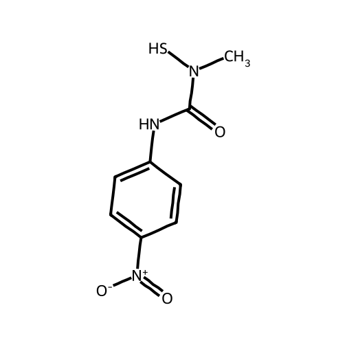 CN(S)C(=O)Nc1ccc([N+](=O)[O-])cc1